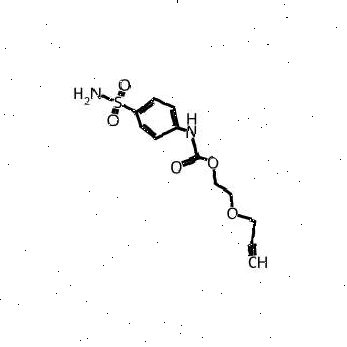 C#CCOCCOC(=O)Nc1ccc(S(N)(=O)=O)cc1